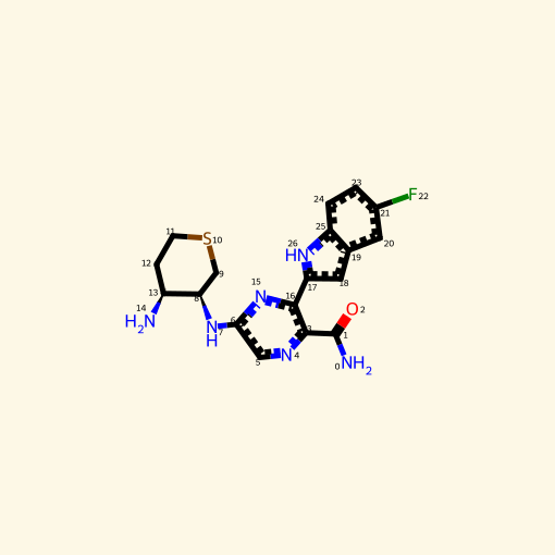 NC(=O)c1ncc(N[C@@H]2CSCC[C@@H]2N)nc1-c1cc2cc(F)ccc2[nH]1